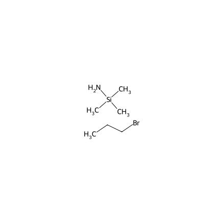 CCCBr.C[Si](C)(C)N